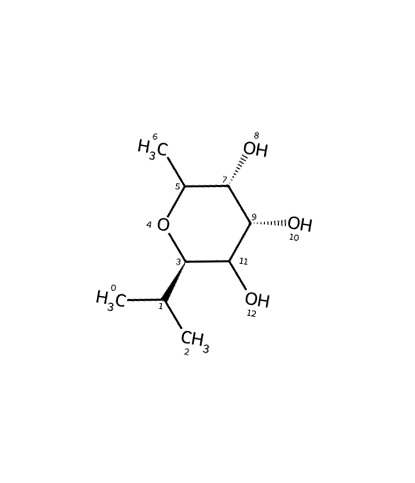 CC(C)[C@H]1OC(C)[C@H](O)[C@H](O)C1O